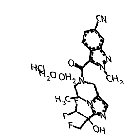 CC1CN(C(=O)c2c3ccc(C#N)cc3nn2C)Cc2cnc(C(O)(CF)C(F)F)n21.Cl.O.O